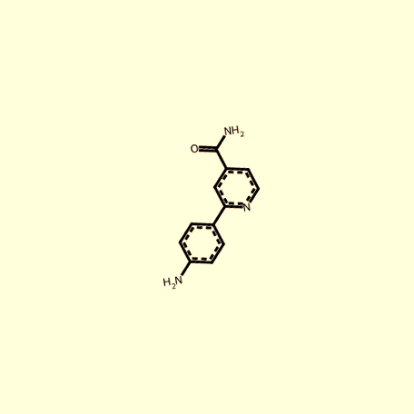 NC(=O)c1ccnc(-c2ccc(N)cc2)c1